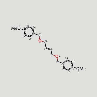 COc1ccc(COCC=CCOCc2ccc(OC)cc2)cc1